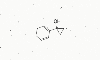 OC1(C2=CCCC=C2)CC1